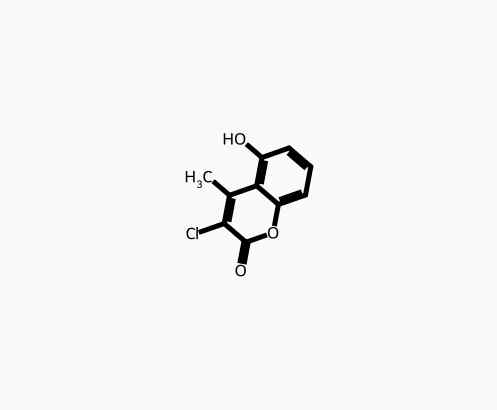 Cc1c(Cl)c(=O)oc2cccc(O)c12